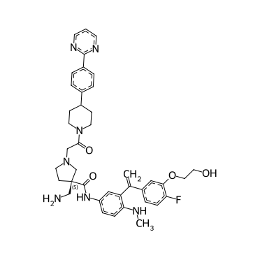 C=C(c1ccc(F)c(OCCO)c1)c1cc(NC(=O)[C@]2(CN)CCN(CC(=O)N3CCC(c4ccc(-c5ncccn5)cc4)CC3)C2)ccc1NC